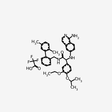 CCOc1cc(C(Nc2ccc3c(N)nccc3c2)C(=O)NCc2ccccc2-c2cc(C)ccc2C)ccc1OC(C)C.O=C(O)C(F)(F)F